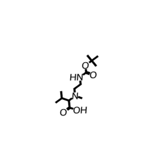 CC(C)C(C(=O)O)N(C)CCNC(=O)OC(C)(C)C